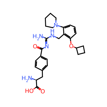 N/C(=N\C(=O)c1ccc(C[C@H](N)C(=O)O)cc1)NCc1c(OC2CCC2)cccc1N1CCCCC1